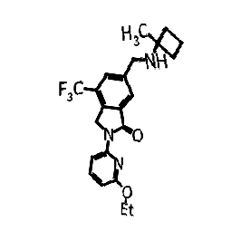 CCOc1cccc(N2Cc3c(cc(CNC4(C)CCC4)cc3C(F)(F)F)C2=O)n1